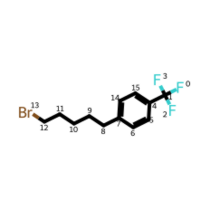 FC(F)(F)c1ccc(CCCCCBr)cc1